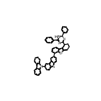 C1=c2oc3c(-c4ccc5sc6ccc(-n7c8ccccc8c8ccccc87)cc6c5c4)cccc3c2=C(C2=NC(c3ccccc3)NC(c3ccccc3)=N2)CC1